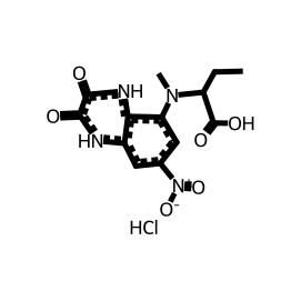 CCC(C(=O)O)N(C)c1cc([N+](=O)[O-])cc2[nH]c(=O)c(=O)[nH]c12.Cl